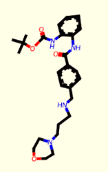 CC(C)(C)OC(=O)Nc1ccccc1NC(=O)c1ccc(CNCCCN2CCOCC2)cc1